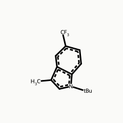 Cc1cn(C(C)(C)C)c2ccc(C(F)(F)F)cc12